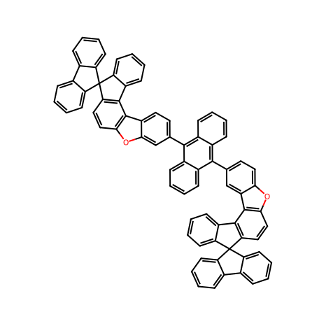 c1ccc2c(c1)-c1ccccc1C21c2ccccc2-c2c1ccc1oc3cc(-c4c5ccccc5c(-c5ccc6oc7ccc8c(c7c6c5)-c5ccccc5C85c6ccccc6-c6ccccc65)c5ccccc45)ccc3c21